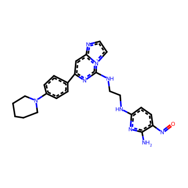 Nc1nc(NCCNc2nc(-c3ccc(N4CCCCC4)cc3)cc3nccn23)ccc1N=O